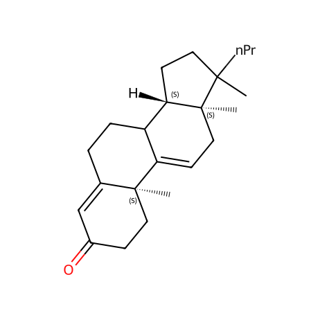 CCCC1(C)CC[C@H]2C3CCC4=CC(=O)CC[C@]4(C)C3=CC[C@@]21C